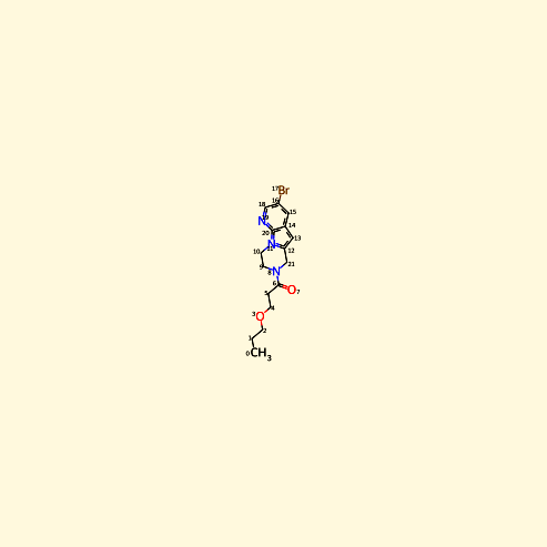 CCCOCCC(=O)N1CCn2c(cc3cc(Br)cnc32)C1